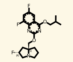 CC(C)COc1nc(OC[C@@]23CCCN2C[C@H](F)C3)nc2c(F)cc(F)cc12